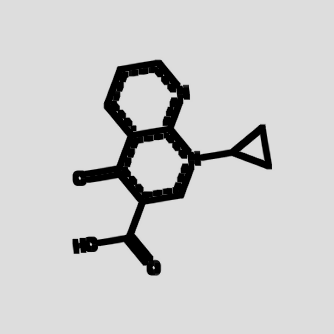 O=C(O)c1cn(C2CC2)c2ncccc2c1=O